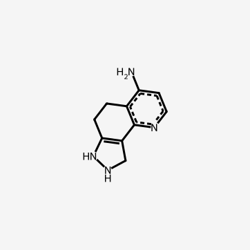 Nc1ccnc2c1CCC1=C2CNN1